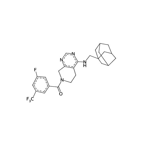 O=C(c1cc(F)cc(C(F)(F)F)c1)N1CCc2c(ncnc2NCC23CC4CC(CC(C4)C2)C3)C1